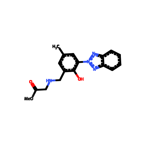 COC(=O)CNCc1cc(C)cc(-n2nc3ccccc3n2)c1O